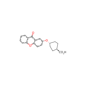 O=c1c2ccccc2oc2ccc(O[C@H]3CC[C@H](C(=O)O)CC3)cc12